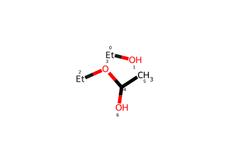 CCO.CCOC(C)O